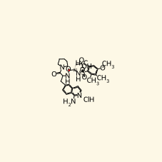 COc1cc(C)c(S(=O)(=O)N[C@@H](CC(=O)O)C(=O)NC(Cc2ccc3c(N)nccc3c2)C(=O)N2CCCCC2)c(C)c1C.Cl